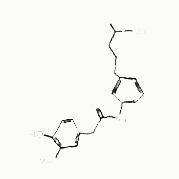 CCC(CCCc1cccc(NC(=O)Cc2ccc(O)c(OC)c2)c1)C(C)(C)C